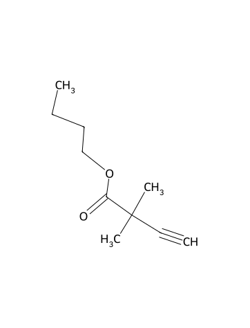 C#CC(C)(C)C(=O)OCCCC